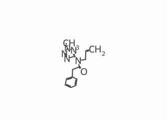 C=CCN(C(=O)Cc1ccccc1)c1nnn(C)n1